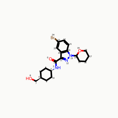 O=C(N[C@H]1CC[C@H](CO)CC1)c1nn(C2CCCCO2)c2ccc(Br)cc12